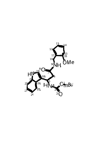 CCCCOC(=O)NC(CC(=O)NCc1ccccc1OC)c1c[nH]c2ccccc12